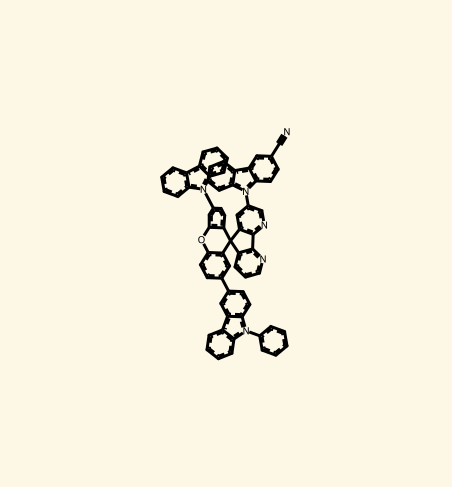 N#Cc1ccc2c(c1)c1ccccc1n2-c1cnc2c(c1)C1(c3ccc(-n4c5ccccc5c5ccccc54)cc3Oc3ccc(-c4ccc5c(c4)c4ccccc4n5-c4ccccc4)cc31)c1cccnc1-2